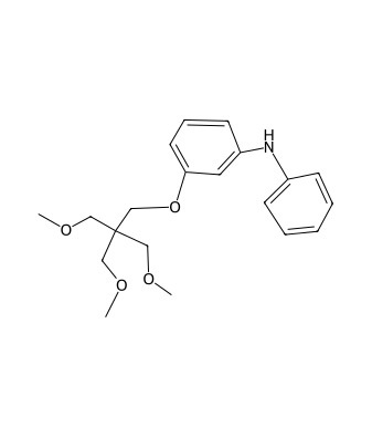 COCC(COC)(COC)COc1cccc(Nc2ccccc2)c1